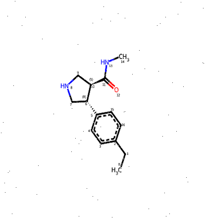 CCc1ccc([C@@H]2CNC[C@H]2C(=O)NC)cc1